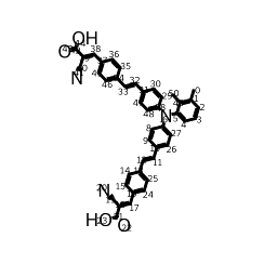 Cc1cccc(N(c2ccc(/C=C/c3ccc(/C=C(\C#N)C(=O)O)cc3)cc2)c2ccc(/C=C/c3ccc(/C=C(\C#N)C(=O)O)cc3)cc2)c1C